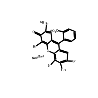 O=C(O)c1ccccc1-c1c2cc(Br)c(=O)c(Br)c-2oc2c(Br)c(O)c(Br)cc12.[Ag].[NaH].[NaH]